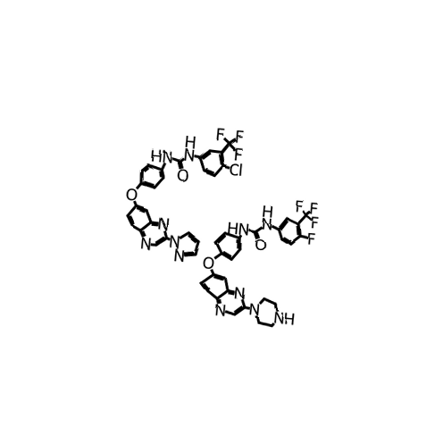 O=C(Nc1ccc(Oc2ccc3ncc(-n4cccn4)nc3c2)cc1)Nc1ccc(Cl)c(C(F)(F)F)c1.O=C(Nc1ccc(Oc2ccc3ncc(N4CCNCC4)nc3c2)cc1)Nc1ccc(F)c(C(F)(F)F)c1